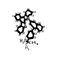 CC(C)(C)c1ccc(-c2cc(-n3c4ccccc4c4c5ccccc5c5c6ccccc6sc5c43)cc3ccccc23)cc1